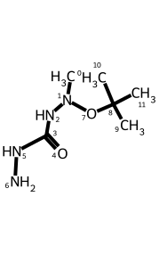 CN(NC(=O)NN)OC(C)(C)C